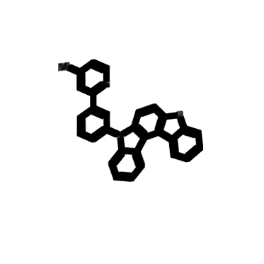 N#Cc1ccnc(-c2cccc(-n3c4ccccc4c4c5c(ccc43)oc3ccccc35)c2)c1